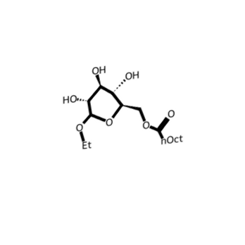 CCCCCCCCC(=O)OC[C@H]1OC(OCC)[C@H](O)[C@@H](O)[C@@H]1O